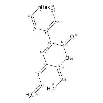 C=C/C=c1/cc(C(/C=C\CCCCCC)=C/CC)c(=O)o/c1=C/C